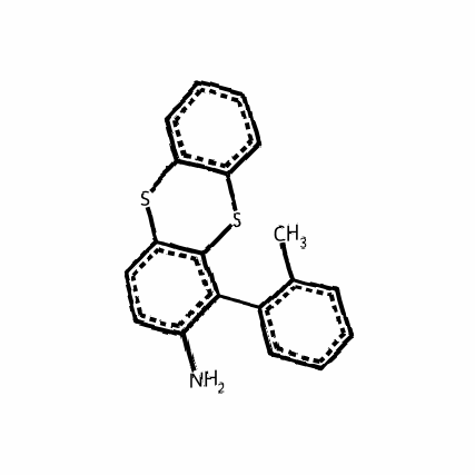 Cc1ccccc1-c1c(N)ccc2c1Sc1ccccc1S2